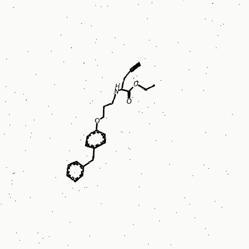 C#CCC(NCCCOc1ccc(Cc2ccccc2)cc1)C(=O)OCC